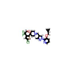 CC1=NN(c2ncccc2OCC2CC2)CC1CN1CCC2(CC1)OCC(F)(F)c1cc(Cl)sc12